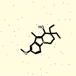 CCC1(CC)CCn2c(c(C)c3cc(OC)ccc32)C1O